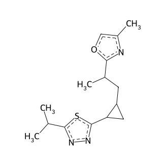 Cc1coc(C(C)CC2CC2c2nnc(C(C)C)s2)n1